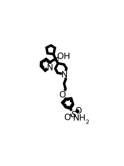 NS(=O)(=O)c1ccc(OCCCN2CCC([C@@](O)(c3ccccn3)C3CCCC3)CC2)cc1